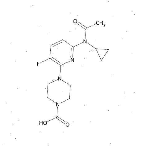 CC(=O)N(c1ccc(F)c(N2CCN(C(=O)O)CC2)n1)C1CC1